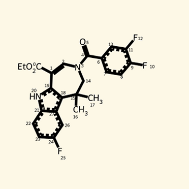 CCOC(=O)C1=CN(C(=O)c2ccc(F)c(F)c2)CC(C)(C)c2c1[nH]c1ccc(F)cc21